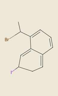 CC(Br)c1cccc2c1=CC(I)CC=2